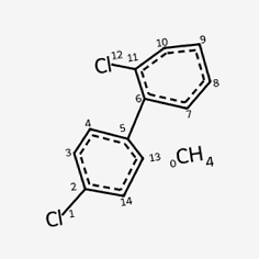 C.Clc1ccc(-c2ccccc2Cl)cc1